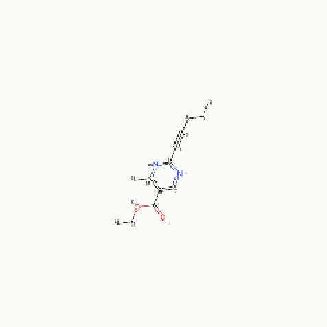 CCCC#Cc1ncc(C(=O)OCC)c(C)n1